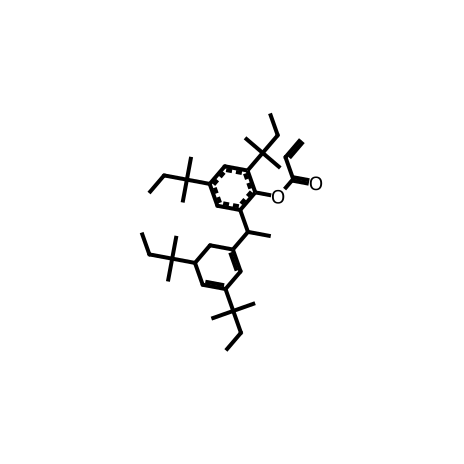 C=CC(=O)Oc1c(C(C)C2=CC(C(C)(C)CC)=CC(C(C)(C)CC)C2)cc(C(C)(C)CC)cc1C(C)(C)CC